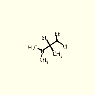 CCC(Cl)C(C)(CC)N(C)C